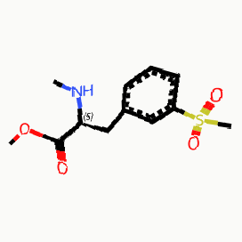 CN[C@@H](Cc1cccc(S(C)(=O)=O)c1)C(=O)OC